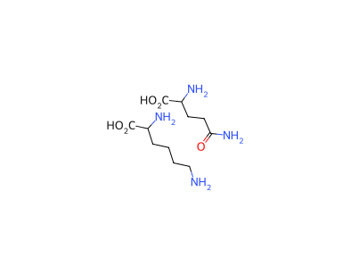 NC(=O)CCC(N)C(=O)O.NCCCCC(N)C(=O)O